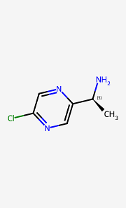 C[C@H](N)c1cnc(Cl)cn1